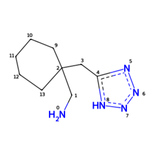 NCC1(Cc2nnn[nH]2)CCCCC1